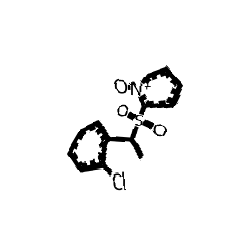 CC(c1ccccc1Cl)S(=O)(=O)c1cccc[n+]1[O-]